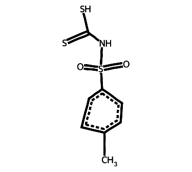 Cc1ccc(S(=O)(=O)NC(=S)S)cc1